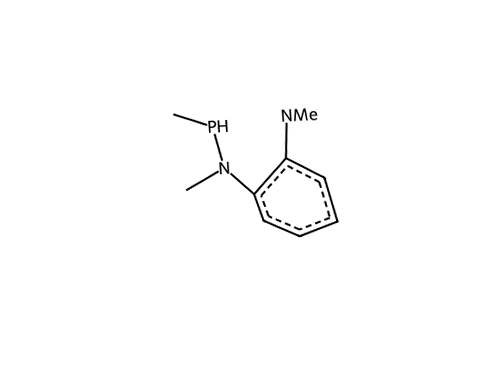 CNc1ccccc1N(C)PC